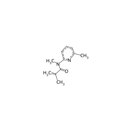 C=C(C)C(=O)N(C)c1cccc(C)n1